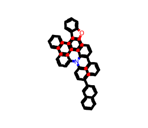 c1ccc(-c2ccccc2-c2cccc(N(c3ccc(-c4ccc5ccccc5c4)cc3)c3c(-c4ccccc4)cccc3-c3ccccc3)c2-c2ccc3oc4ccccc4c3c2)cc1